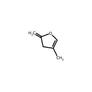 C=C1CC(C)=CO1